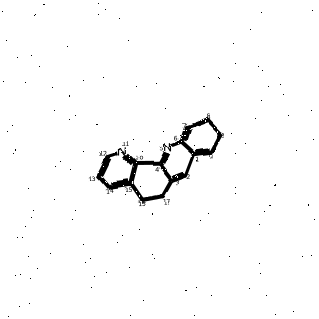 C1=c2cc3c(nc2=CCC1)-c1ncccc1CC3